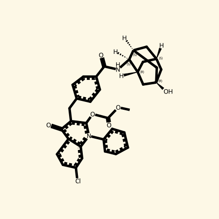 COC(=O)Oc1c(Cc2ccc(C(=O)N[C@@H]3[C@@H]4C[C@@H]5C[C@H]3C[C@](O)(C5)C4)cc2)c(=O)c2ccc(Cl)cc2n1-c1ccccc1